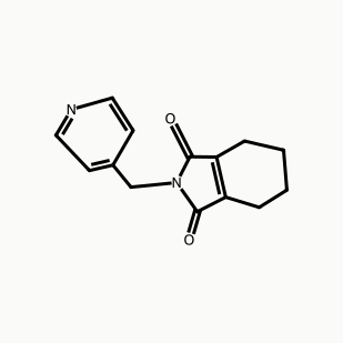 O=C1C2=C(CCCC2)C(=O)N1Cc1ccncc1